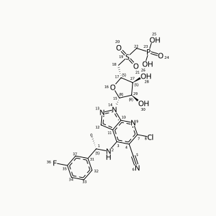 C[C@H](Nc1c(C#N)c(Cl)nc2c1cnn2[C@@H]1O[C@H](CS(=O)(=O)CP(=O)(O)O)[C@@H](O)[C@H]1O)c1cccc(F)c1